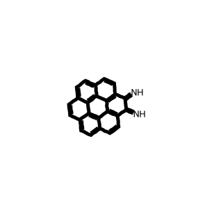 N=c1c(=N)c2ccc3ccc4ccc5ccc6ccc1c1c6c5c4c3c21